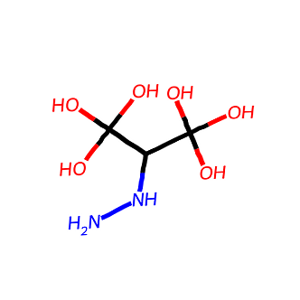 NNC(C(O)(O)O)C(O)(O)O